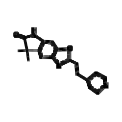 CC1(C)C(=O)Nc2cc3oc(C=Cc4ccncc4)nc3cc21